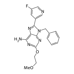 COCCOc1nc(N)c2nc(-c3cncc(F)c3)n(Cc3ccccc3)c2n1